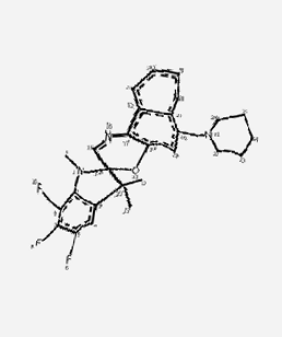 CN1c2c(cc(F)c(F)c2F)C(C)(C)C12C=Nc1c(cc(N3CCCCC3)c3ccccc13)O2